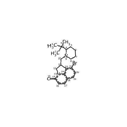 CC(C)(C)C1C[CH]CCN1CC1Cn2c(=O)ccc3ccc(Br)c1c32